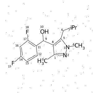 Cc1nn(C)c(CC(C)C)c1C(O)c1ccc(F)cc1F